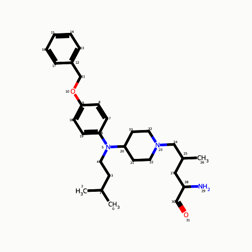 CC(C)CCN(c1ccc(OCc2ccccc2)cc1)C1CCN(CC(C)CC(N)C=O)CC1